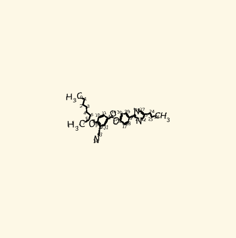 CCCCCCC(C)Oc1ccc(C(=O)Oc2ccc(-c3ncc(CCC)cn3)cc2)cc1C#N